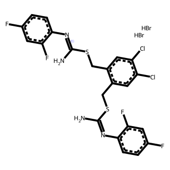 Br.Br.NC(=Nc1ccc(F)cc1F)SCc1cc(Cl)c(Cl)cc1CS/C(N)=N/c1ccc(F)cc1F